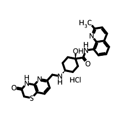 Cc1ccc2cccc(NC(=O)[C@]3(O)CC[C@H](NCc4ccc5c(n4)NC(=O)CS5)CC3)c2n1.Cl